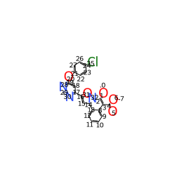 COC=C(C(=O)OC)c1ccccc1-c1cc(-c2cc(Oc3ccc(Cl)cc3)ncn2)on1